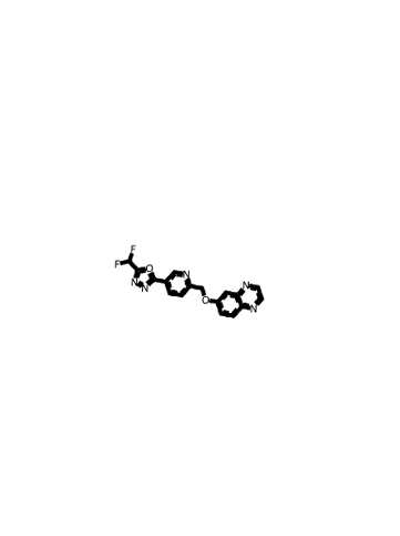 FC(F)c1nnc(-c2ccc(COc3ccc4nccnc4c3)nc2)o1